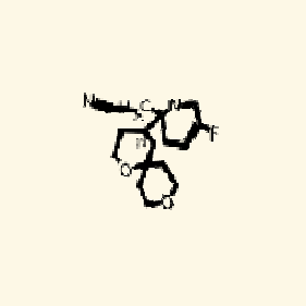 CC1([C@]2(CC#N)CCOC3(CCOCC3)C2)CC=C(F)C=N1